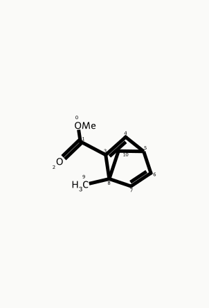 COC(=O)C1=CC2C=CC1(C)C2